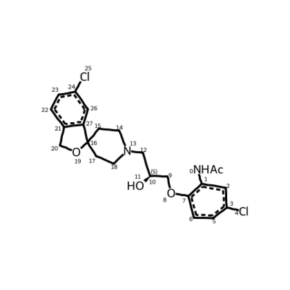 CC(=O)Nc1cc(Cl)ccc1OC[C@@H](O)CN1CCC2(CC1)OCc1ccc(Cl)cc12